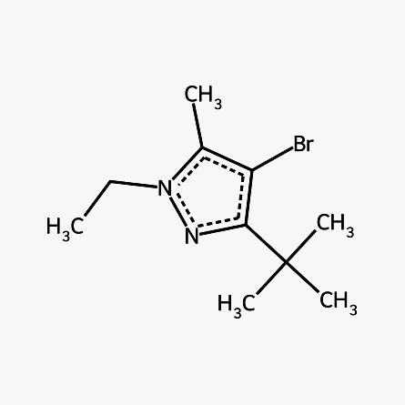 CCn1nc(C(C)(C)C)c(Br)c1C